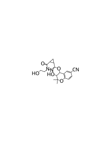 CC1(C)Oc2ccc(C#N)cc2C(OC2=NN(CCO)C(=O)C3CC23)C1O